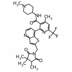 Cc1cc(C(F)(F)F)nc(-c2ccnc3cc(CN4C(=O)C(C)C(C)(C)C4=O)sc23)c1C(=O)NC1CCN(C)CC1